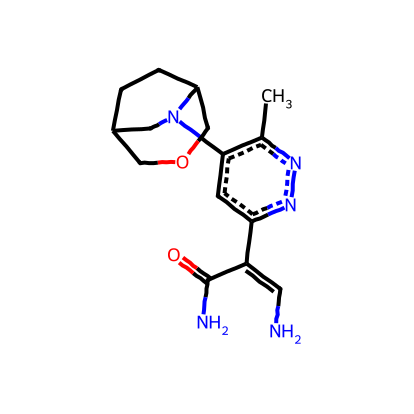 Cc1nnc(/C(=C/N)C(N)=O)cc1N1CC2CCC1COC2